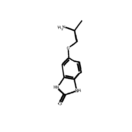 CC(N)COc1ccc2[nH]c(=O)[nH]c2c1